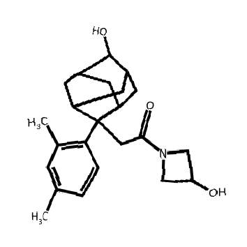 Cc1ccc(C2(CC(=O)N3CC(O)C3)C3CC4CC2CC(C3)C4O)c(C)c1